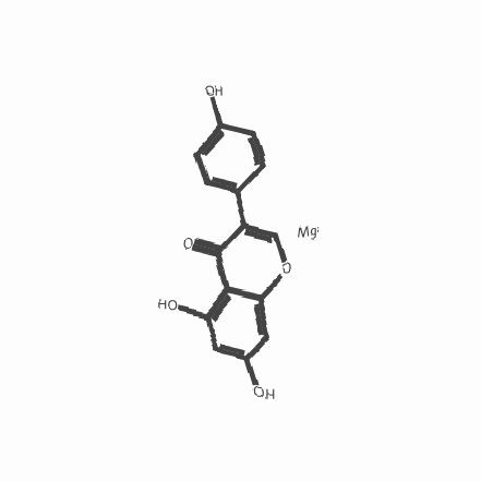 O=c1c(-c2ccc(O)cc2)coc2cc(O)cc(O)c12.[Mg]